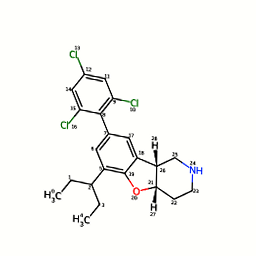 CCC(CC)c1cc(-c2c(Cl)cc(Cl)cc2Cl)cc2c1O[C@H]1CCNC[C@@H]21